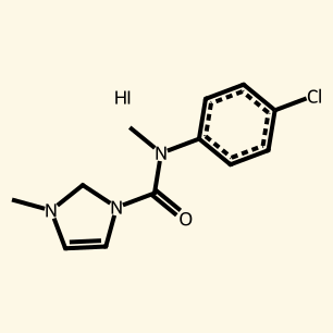 CN1C=CN(C(=O)N(C)c2ccc(Cl)cc2)C1.I